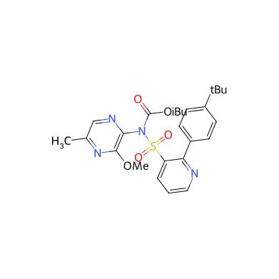 COc1nc(C)cnc1N(C(=O)OCC(C)C)S(=O)(=O)c1cccnc1-c1ccc(C(C)(C)C)cc1